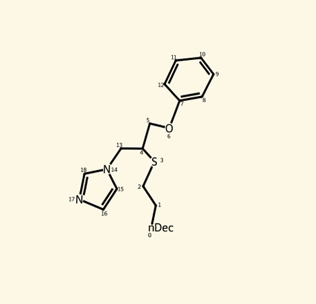 CCCCCCCCCCCCSC(COc1ccccc1)Cn1ccnc1